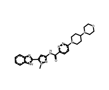 Cn1nc(NC(=O)c2ccc(N3CCC(N4CCOCC4)CC3)nn2)cc1-c1nc2ccccc2[nH]1